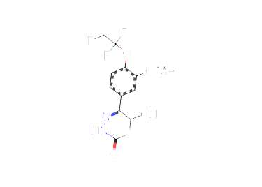 COc1cc(C2=NNC(=O)SC2C)ccc1OC(F)(F)CF